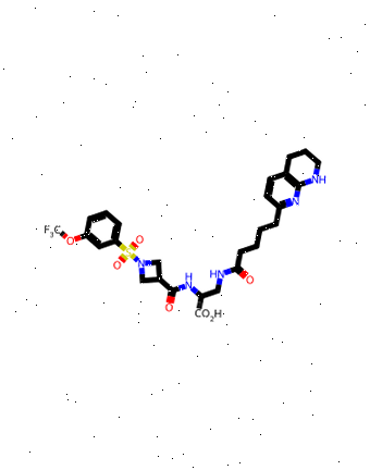 O=C(CCCCc1ccc2c(n1)NCCC2)NCC(NC(=O)C1CN(S(=O)(=O)c2cccc(OC(F)(F)F)c2)C1)C(=O)O